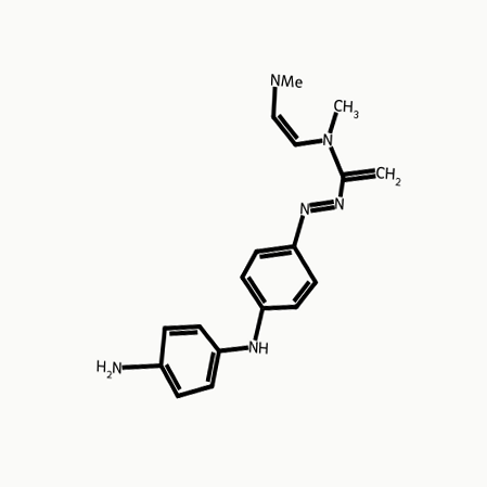 C=C(/N=N/c1ccc(Nc2ccc(N)cc2)cc1)N(C)/C=C\NC